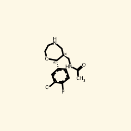 CC(=O)NC[C@@H]1CNCCO[C@H]1c1ccc(F)c(Cl)c1